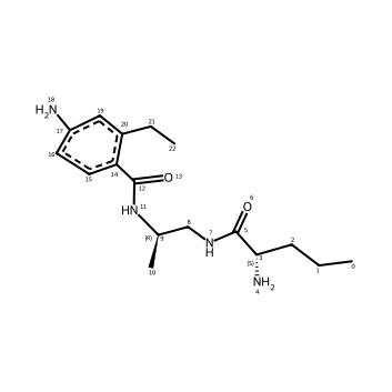 CCC[C@H](N)C(=O)NC[C@@H](C)NC(=O)c1ccc(N)cc1CC